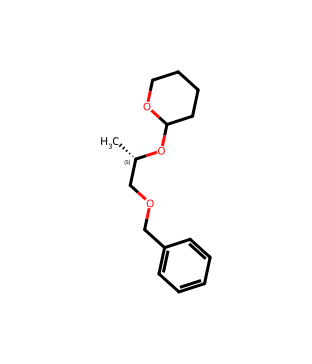 C[C@@H](COCc1ccccc1)OC1CCCCO1